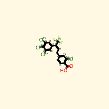 O=C(O)c1ccc(C/C=C(\c2cc(Cl)c(Cl)c(Cl)c2)C(F)(F)F)cc1Cl